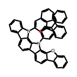 c1ccc(-c2ccc(-n3c4c(ccc5c6ccccc6oc54)c4ccc5c6ccccc6n(-c6cc7c8c(cccc8c6)-c6ccccc6-7)c5c43)cc2)cc1